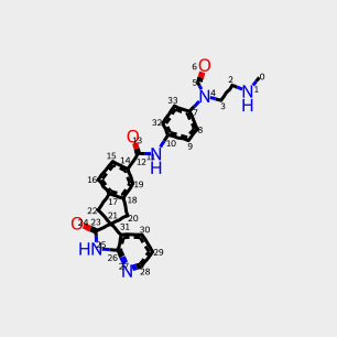 CNCCN(C=O)c1ccc(NC(=O)c2ccc3c(c2)CC2(C3)C(=O)Nc3ncccc32)cc1